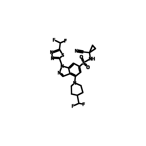 N#CC1(NS(=O)(=O)c2cc(N3CCC(C(F)F)CC3)c3cnn(-c4nnc(C(F)F)s4)c3c2)CC1